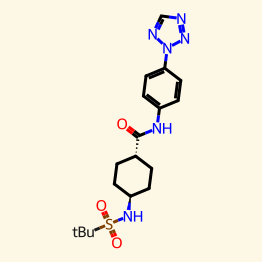 CC(C)(C)S(=O)(=O)N[C@H]1CC[C@H](C(=O)Nc2ccc(-n3ncnn3)cc2)CC1